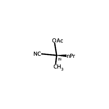 CCC[C@@](C)(C#N)OC(C)=O